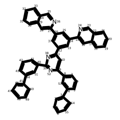 c1ccc(-c2cccc(-c3cc(-c4cc(-c5cc6ccccc6cn5)cc(-c5cc6ccccc6cn5)c4)nc(-c4cccc(-c5ccccc5)c4)n3)c2)cc1